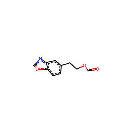 O=COCCc1ccc2ocnc2c1